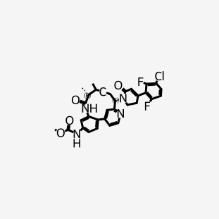 COC(=O)Nc1ccc2c(c1)NC(=O)[C@H](C)C(C)CC[C@H](N1CCC(c3c(F)ccc(Cl)c3F)=CC1=O)c1cc-2ccn1